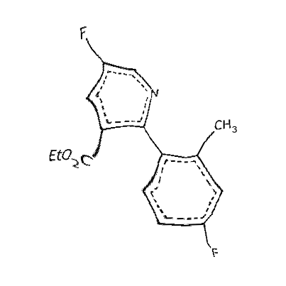 CCOC(=O)c1cc(F)cnc1-c1ccc(F)cc1C